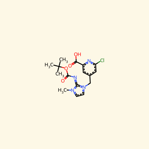 Cn1ccn(Cc2cc(Cl)nc(C(=O)O)c2)c1=NC(=O)OC(C)(C)C